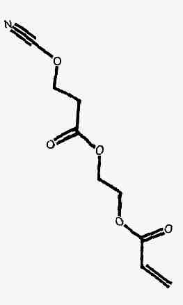 C=CC(=O)OCCOC(=O)CCOC#N